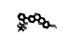 Cc1cccc(CC2COC3=CC(c4ccccc4NS(=O)(=O)C(F)(F)F)=CCC3C2O)n1